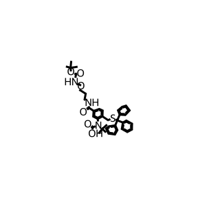 CC(C)(C)OC(=O)NOCCCNC(=O)c1ccc(CSC(c2ccccc2)(c2ccccc2)c2ccccc2)c(N(C(=O)O)C(C)(C)C)c1